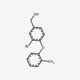 Cc1ccccc1Oc1ccc(CO)cc1Br